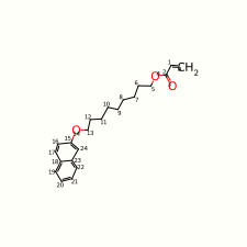 C=CC(=O)OCCCCCCCCCOc1ccc2ccccc2c1